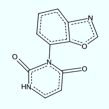 O=c1cc[nH]c(=O)n1-c1cccc2ncoc12